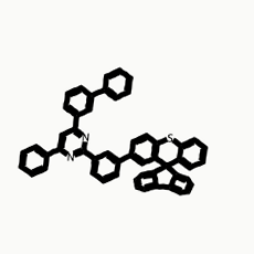 c1ccc(-c2cccc(-c3cc(-c4ccccc4)nc(-c4cccc(-c5ccc6c(c5)C5(c7ccccc7S6)c6ccccc6-c6ccccc65)c4)n3)c2)cc1